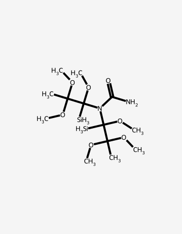 COC(C)(OC)C([SiH3])(OC)N(C(N)=O)C([SiH3])(OC)C(C)(OC)OC